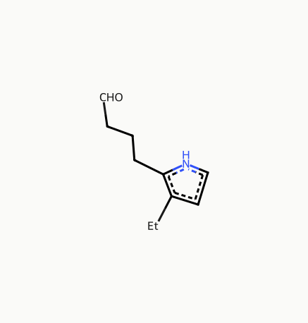 CCc1cc[nH]c1CCCC=O